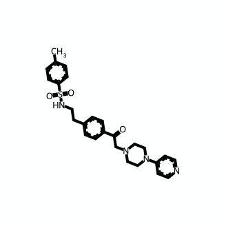 Cc1ccc(S(=O)(=O)NCCc2ccc(C(=O)CN3CCN(c4ccncc4)CC3)cc2)cc1